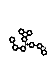 c1ccc(-c2cccc(-c3cccc(N(c4ccc(-c5ccc6sc7ccccc7c6c5)cc4)c4ccc5c6ccccc6c6ccccc6c5c4)c3)c2)cc1